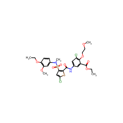 CCOC(=O)c1cc(NC(=O)c2sc(Cl)cc2S(=O)(=O)N(C)c2ccc(OCC)c(OC)c2)cc(Cl)c1OCCOC